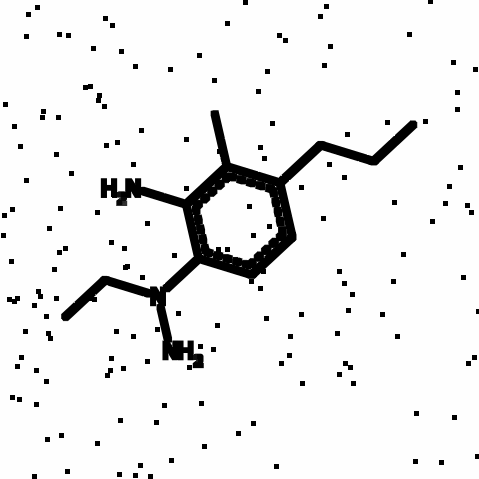 CCCc1ccc(N(N)CC)c(N)c1C